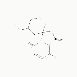 CCC1CCCC2(C1)NC(=O)c1c(C)ccc(=O)n12